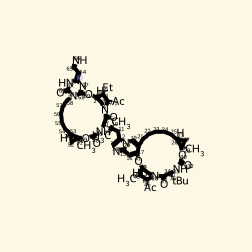 CC[C@@H]1[C@@H]2CN(C(=O)[C@H](C(C)(C)Cc3cnc4cc5c(cn34)CCCCC[C@@H]3C[C@@]3(C)OC(=O)N[C@@H](C(C)(C)C)C(=O)N3C[C@H](O5)[C@@H](C)[C@H]3C(C)=O)NC(=O)O[C@]3(C)C[C@H]3CCCCCN3C(=O)N/C(=C\C=N)N=C3O2)[C@@H]1C(C)=O